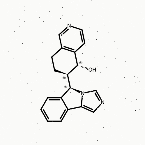 O[C@H]1c2ccncc2CC[C@@H]1[C@@H]1c2ccccc2-c2cncn21